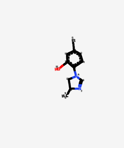 CCc1ccc(N2C=NC(C)C2)c(O)c1